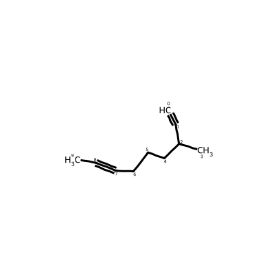 C#CC(C)CCCC#CC